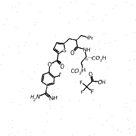 CC(C)CC(Cc1ccc(C(=O)Oc2ccc(C(=N)N)cc2F)s1)C(=O)N[C@@H](CC(=O)O)C(=O)O.O=C(O)C(F)(F)F